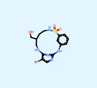 O=S1(=O)NCCC(CO)CNc2nc(ncc2Br)Nc2cccc1c2